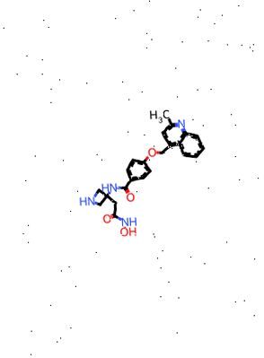 Cc1cc(COc2ccc(C(=O)NC3(CC(=O)NO)CNC3)cc2)c2ccccc2n1